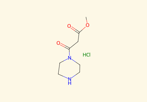 COC(=O)CC(=O)N1CCNCC1.Cl